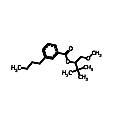 CCCCc1cccc(C(=O)OC(COC)C(C)(C)C)c1